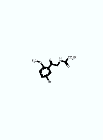 CCOC(=O)C(=O)NCC(=O)c1cc(Br)ccc1OC(F)(F)F